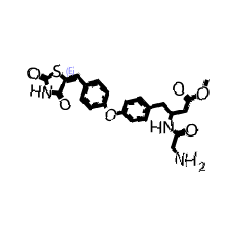 COC(=O)CC(Cc1ccc(Oc2ccc(/C=C3/SC(=O)NC3=O)cc2)cc1)NC(=O)CN